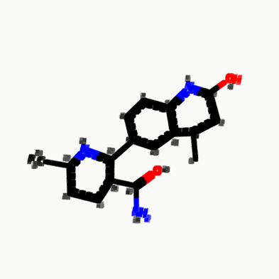 Cc1cc(O)nc2ccc(-c3nc(C(F)(F)F)ccc3C(N)=O)cc12